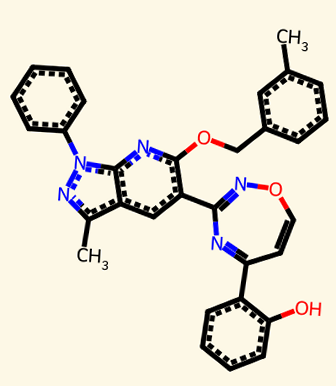 Cc1cccc(COc2nc3c(cc2C2=NOC=CC(c4ccccc4O)=N2)c(C)nn3-c2ccccc2)c1